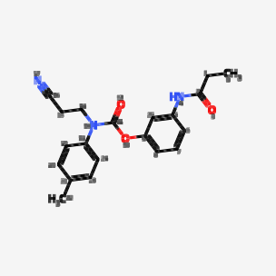 CCC(=O)Nc1cccc(OC(=O)N(CCC#N)c2ccc(C)cc2)c1